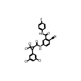 N#Cc1ccc(NC(=O)C2C(c3cc(Cl)cc(Cl)c3)C2(Cl)Cl)cc1C(=O)Nc1ccc(F)cc1